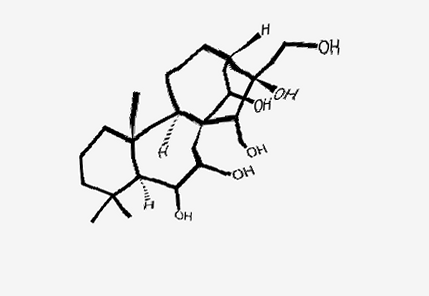 CC1(C)CCC[C@@]2(C)[C@H]1C(O)C(O)[C@]13C(O)[C@H](CC[C@@H]12)[C@](O)(CO)C3O